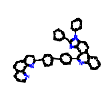 c1ccc(-c2nc3c4c(-c5ccc(-c6ccc(-c7ccc8ccc9cccnc9c8n7)cc6)cc5)nc5ccccc5c4ccc3n2-c2ccccc2)cc1